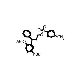 CCCCc1ccc(OC)c(C(CCOS(=O)(=O)c2ccc(C)cc2)c2ccccc2)c1